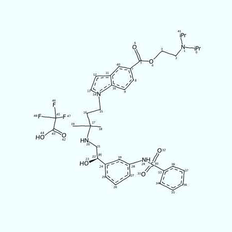 CC(C)N(CCOC(=O)c1ccc2c(ccn2CCC(C)(C)NC[C@H](O)c2cccc(NS(=O)(=O)c3ccccc3)c2)c1)C(C)C.O=C(O)C(F)(F)F